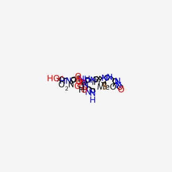 COc1cc(CN2CCN(C3CC4(CCN(c5ccc(C(=O)NS(=O)(=O)c6ccc(NCC7CCC(C)(O)CC7)c([N+](=O)[O-])c6)c(N6c7cc8cc[nH]c8nc7O[C@H]7COCC[C@@H]76)c5)CC4)C3)[C@H](c3cscc3C(C)C)C2)cnc1N1CCOCC1